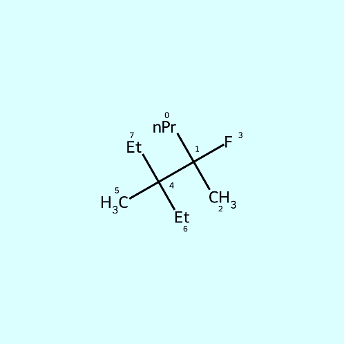 CCCC(C)(F)C(C)(CC)CC